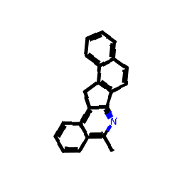 Cc1nc2c(c3ccccc13)Cc1c-2ccc2ccccc12